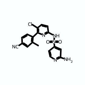 Cc1cc(C#N)ccc1-c1nc(NS(=O)(=O)c2ccnc(N)c2)ccc1Cl